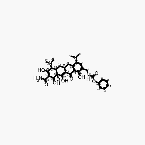 CN(C)c1cc(CNC(=O)Oc2ccccc2)c(O)c2c1CC1CC3C(N(C)C)C(O)=C(C(N)=O)C(=O)C3(O)C(O)=C1C2=O